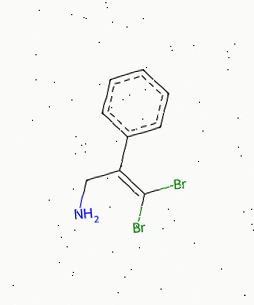 NCC(=C(Br)Br)c1ccccc1